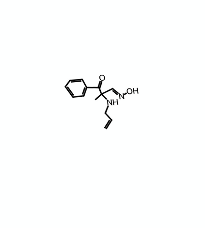 C=CCNC(C)(C=NO)C(=O)c1ccccc1